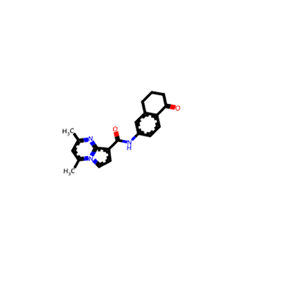 Cc1cc(C)n2ccc(C(=O)Nc3ccc4c(c3)CCCC4=O)c2n1